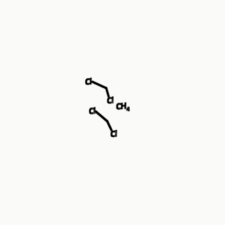 C.ClCCl.ClCCl